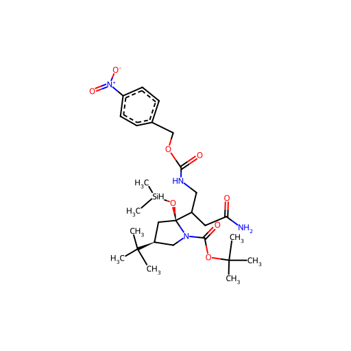 C[SiH](C)O[C@]1(C(CNC(=O)OCc2ccc([N+](=O)[O-])cc2)CC(N)=O)C[C@H](C(C)(C)C)CN1C(=O)OC(C)(C)C